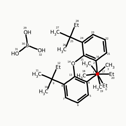 CCC(C)(C)c1cccc(C(C)(C)CC)c1Oc1c(C(C)(C)CC)cccc1C(C)(C)CC.OB(O)O